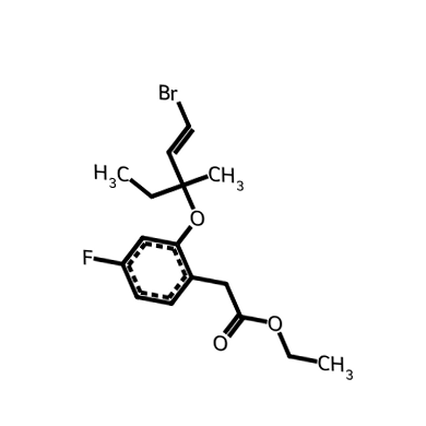 CCOC(=O)Cc1ccc(F)cc1OC(C)(/C=C/Br)CC